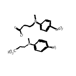 CN(CCC(=O)Cl)c1ccc([N+](=O)[O-])cc1.CN(CCC(=O)O)c1ccc([N+](=O)[O-])cc1